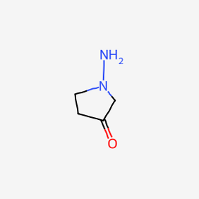 NN1CCC(=O)C1